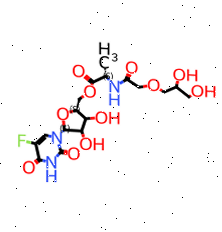 C[C@H](NC(=O)COCC(O)CO)C(=O)OC[C@@H]1O[C@H](n2cc(F)c(=O)[nH]c2=O)C(O)C1O